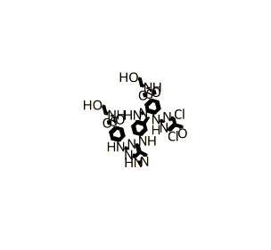 O=Cc1c(Cl)nc(Nc2ccc(S(=O)(=O)NCCO)cc2)nc1Cl.O=S(=O)(NCCO)c1ccc(Nc2nc(Nc3ccc4[nH]ncc4c3)c3cn[nH]c3n2)cc1